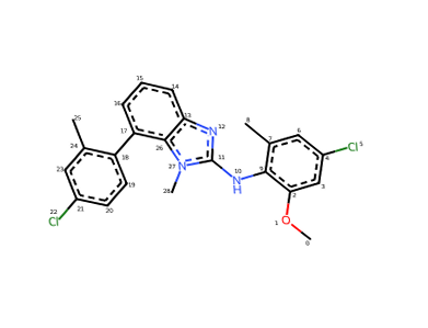 COc1cc(Cl)cc(C)c1Nc1nc2cccc(-c3ccc(Cl)cc3C)c2n1C